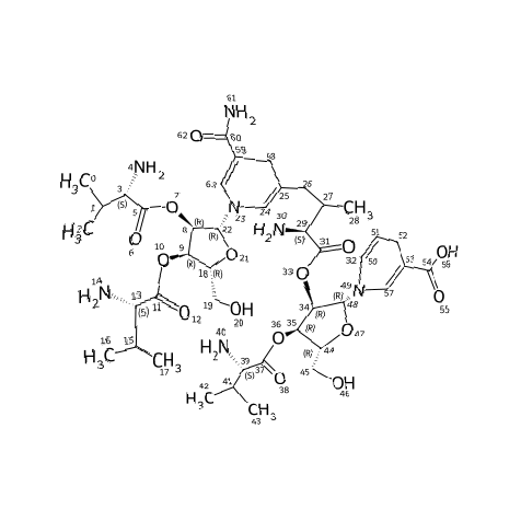 CC(C)[C@H](N)C(=O)O[C@@H]1[C@H](OC(=O)[C@@H](N)C(C)C)[C@@H](CO)O[C@H]1N1C=C(CC(C)[C@H](N)C(=O)O[C@@H]2[C@H](OC(=O)[C@@H](N)C(C)C)[C@@H](CO)O[C@H]2N2C=CCC(C(=O)O)=C2)CC(C(N)=O)=C1